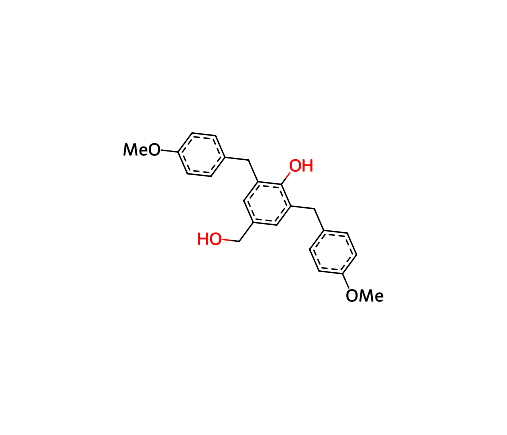 COc1ccc(Cc2cc(CO)cc(Cc3ccc(OC)cc3)c2O)cc1